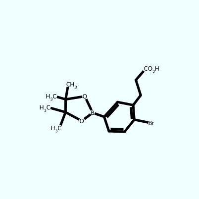 CC1(C)OB(c2ccc(Br)c(CCC(=O)O)c2)OC1(C)C